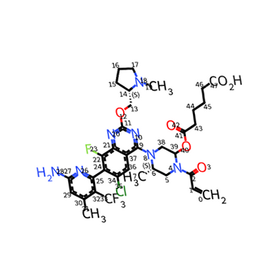 C=CC(=O)N1C[C@H](C)N(c2nc(OC[C@@H]3CCCN3C)nc3c(F)c(-c4nc(N)cc(C)c4C(F)(F)F)c(Cl)cc23)CC1OC(=O)CCCCC(=O)O